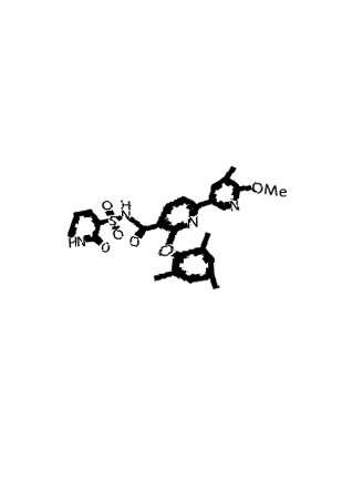 COc1ncc(-c2ccc(C(=O)NS(=O)(=O)c3ccc[nH]c3=O)c(Oc3c(C)cc(C)cc3C)n2)cc1C